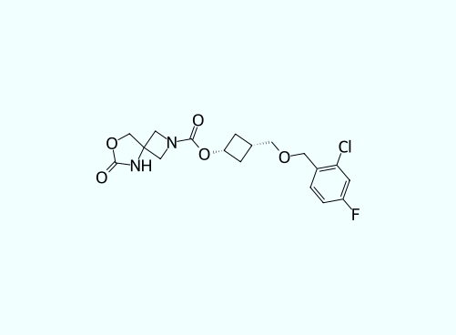 O=C1NC2(CO1)CN(C(=O)O[C@H]1C[C@@H](COCc3ccc(F)cc3Cl)C1)C2